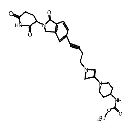 CC(C)(C)OC(=O)NC1CCN(C2CN(CCC#Cc3ccc4c(c3)CN(C3CCC(=O)NC3=O)C4=O)C2)CC1